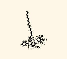 CCCCCCCCCCCCCCCCC(=O)OC[C@H]1O[C@@H](O[C@H]2[C@H](O)[C@@H](O)[C@H](O)O[C@@H]2CO)[C@H](O)[C@@H](O)[C@@H]1OC(=O)C1CCCCC1